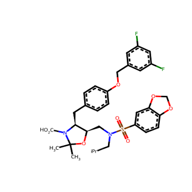 CC(C)CN(C[C@H]1OC(C)(C)N(C(=O)O)[C@H]1Cc1ccc(OCc2cc(F)cc(F)c2)cc1)S(=O)(=O)c1ccc2c(c1)OCO2